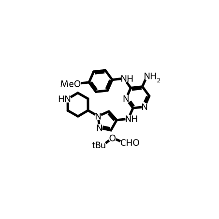 CC(C)(C)OC=O.COc1ccc(Nc2nc(Nc3cnn(C4CCNCC4)c3)ncc2N)cc1